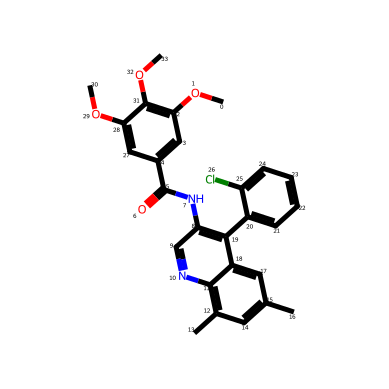 COc1cc(C(=O)Nc2cnc3c(C)cc(C)cc3c2-c2ccccc2Cl)cc(OC)c1OC